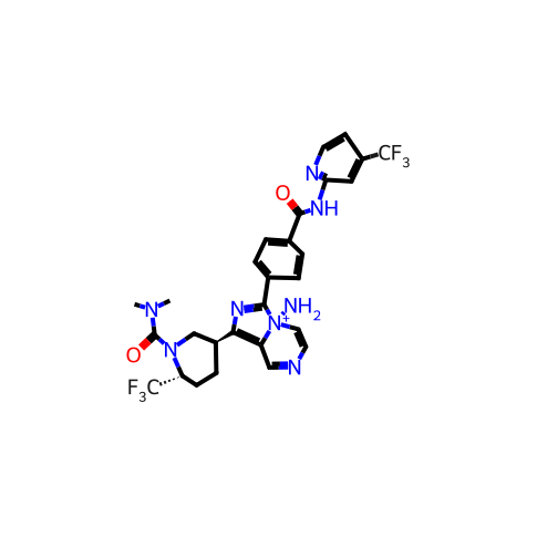 CN(C)C(=O)N1C[C@@H](C2=C3C=NC=C[N+]3(N)C(c3ccc(C(=O)Nc4cc(C(F)(F)F)ccn4)cc3)=N2)CC[C@@H]1C(F)(F)F